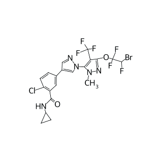 Cn1nc(OC(F)(F)C(F)Br)c(C(F)(F)F)c1-n1cc(-c2ccc(Cl)c(C(=O)NC3CC3)c2)cn1